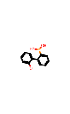 Oc1ccccc1-c1ccccc1P(O)O